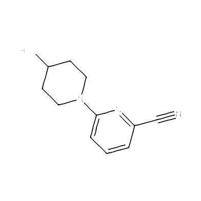 CC1CCN(c2cccc(C#N)n2)CC1